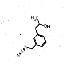 CC(O)Cc1cccc(CN=[N+]=[N-])c1